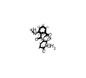 CN1C(=O)CCC(N2C(=O)c3cccc(NI)c3C2=O)C1=O